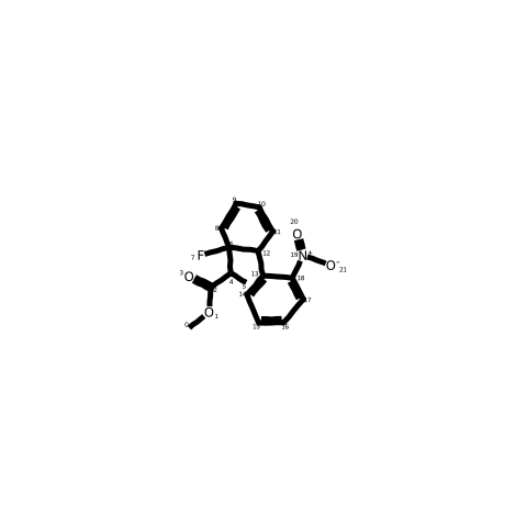 COC(=O)C(C)C1(F)C=CC=CC1c1ccccc1[N+](=O)[O-]